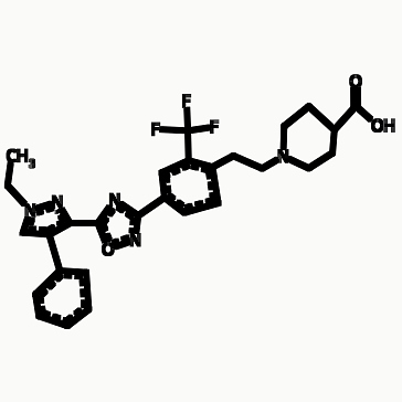 CCn1cc(-c2ccccc2)c(-c2nc(-c3ccc(CCN4CCC(C(=O)O)CC4)c(C(F)(F)F)c3)no2)n1